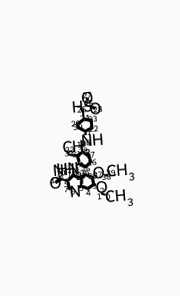 CCOc1cc2ncc(C(N)=O)c(Nc3cccc(CNc4ccc(C[SH](=O)=O)cc4)c3CC)c2cc1OCC